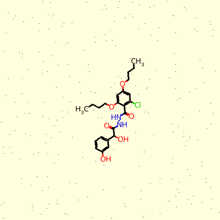 CCCCOc1cc(Cl)c(C(=O)NNC(=O)C(O)c2cccc(O)c2)c(OCCCC)c1